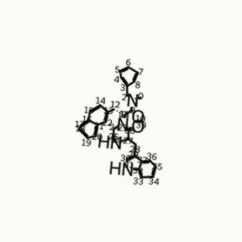 CN(Cc1ccccc1)C(=O)[C@@H](Cc1ccc2ccccc2c1)N1CCNC(Cc2c[nH]c3ccccc23)C1=O